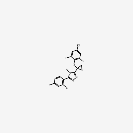 Cn1c(-c2ccc(F)cc2Cl)nnc1C1(Oc2c(F)cc(Cl)cc2F)CC1